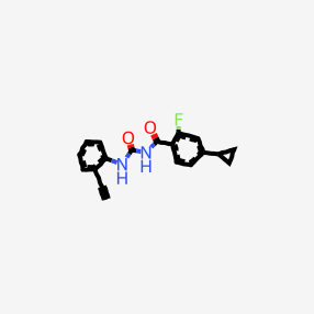 C#Cc1ccccc1NC(=O)NC(=O)c1ccc(C2CC2)cc1F